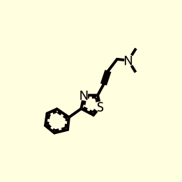 CN(C)CC#Cc1nc(-c2ccccc2)cs1